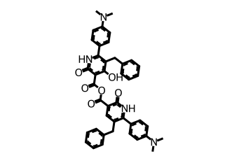 CN(C)c1ccc(-c2[nH]c(=O)c(C(=O)OC(=O)c3c(O)c(Cc4ccccc4)c(-c4ccc(N(C)C)cc4)[nH]c3=O)cc2Cc2ccccc2)cc1